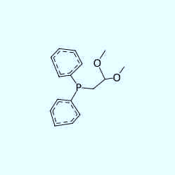 COC(CP(c1ccccc1)c1ccccc1)OC